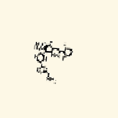 CC1(C)[C@H]2CC[C@]1(c1cncc(-c3nc(CN)co3)n1)c1nnc(-c3c(F)cccc3F)cc12